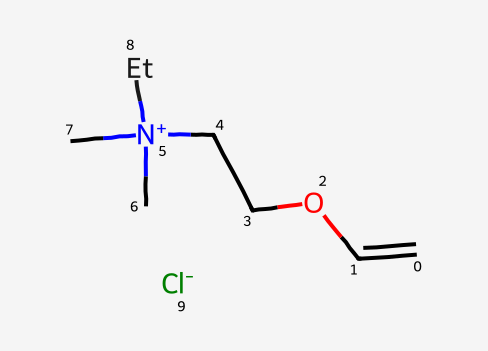 C=COCC[N+](C)(C)CC.[Cl-]